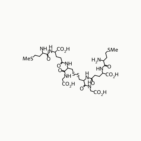 CSCCC(N)C(=O)NC(CCC(=O)NC(CSSCC(NC(=O)CCC(NC(=O)C(N)CCSC)C(=O)O)C(=O)NCC(=O)O)C(=O)NCC(=O)O)C(=O)O